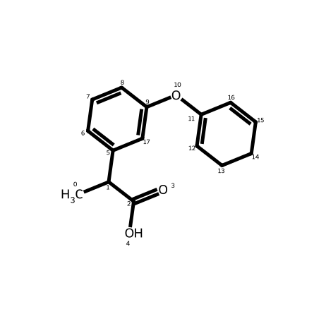 CC(C(=O)O)c1cccc(OC2=CCCC=C2)c1